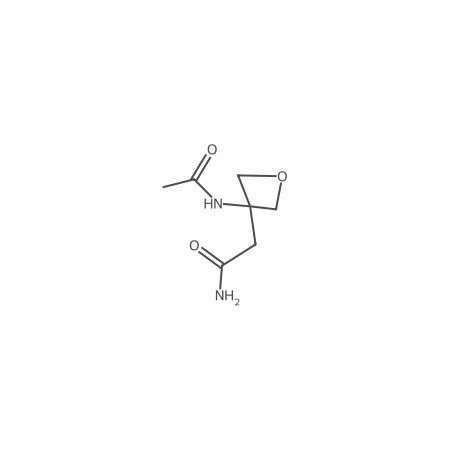 CC(=O)NC1(CC(N)=O)COC1